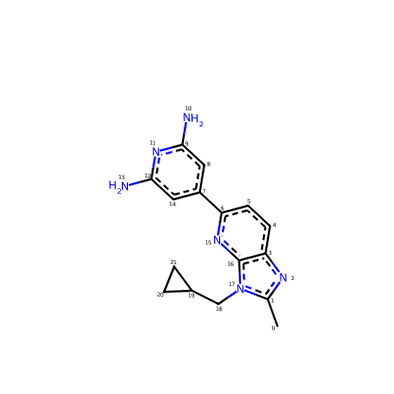 Cc1nc2ccc(-c3cc(N)nc(N)c3)nc2n1CC1CC1